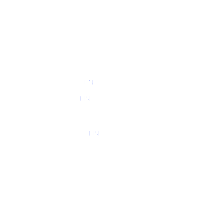 N=Cc1cccc2[nH][nH]c12